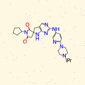 CC(C)N1CCN(c2ccc(Nc3ncc4c(n3)NC3(CC(=O)N(C5CCCC5)C3=O)C4)cn2)CC1